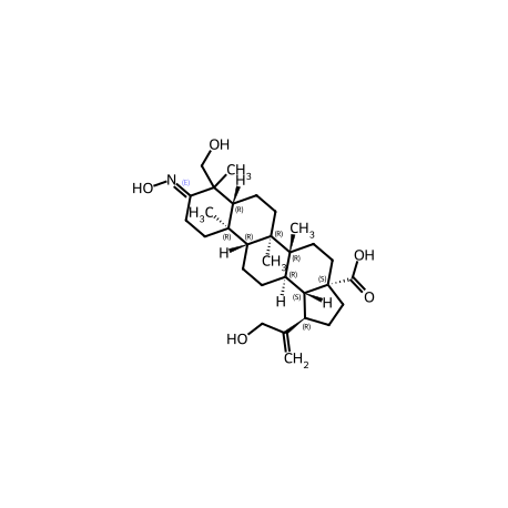 C=C(CO)[C@@H]1CC[C@]2(C(=O)O)CC[C@]3(C)[C@H](CC[C@@H]4[C@@]5(C)CC/C(=N\O)C(C)(CO)[C@@H]5CC[C@]43C)[C@@H]12